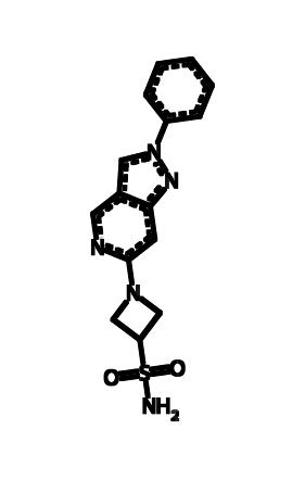 NS(=O)(=O)C1CN(c2cc3nn(-c4ccccc4)cc3cn2)C1